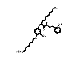 CCCCCCCCCCCCCCCCOc1ccc(OC(CCCCCCCCCCCCCCCC)C(=O)NCCc2cccc[n+]2CCC)cc1C(C)(C)C.[I-]